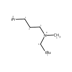 CC(C)CCCN(C)CC(C)(C)C